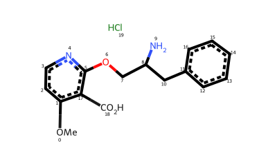 COc1ccnc(OCC(N)Cc2ccccc2)c1C(=O)O.Cl